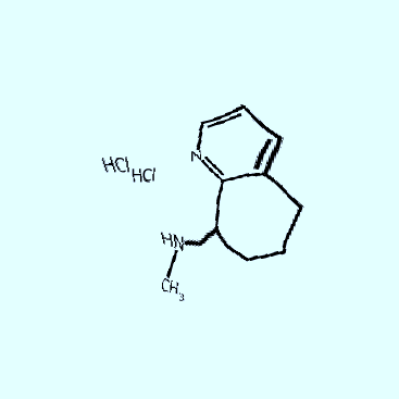 CNC1CCCc2cccnc21.Cl.Cl